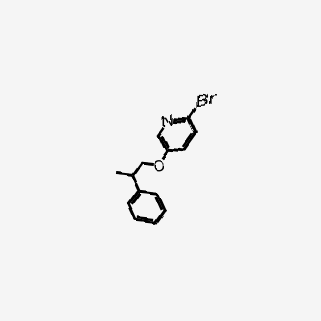 CC(COc1ccc(Br)nc1)c1ccccc1